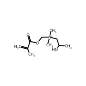 C=C(C)C(=O)OC[N+](C)(C)CC(C)O